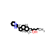 CCCCC(C)(O)C[C@H]1CCC2[C@H](CC[C@]3(C)[C@@H](c4cn5ccccc5n4)CC[C@@H]23)C1